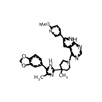 COc1ccc(-c2cc3c(N4CCC(C)(c5nc(C)c(-c6ccc7c(c6)OCO7)[nH]5)CC4)ncnc3[nH]2)cn1